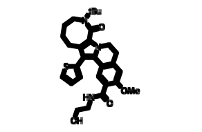 COc1cc2c(cc1C(=O)NCCO)-c1c(-c3cccs3)c3c(n1CC2)C(=O)N(C(C)(C)C)CCCC3